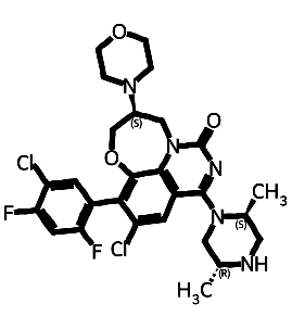 C[C@@H]1CN(c2nc(=O)n3c4c(c(-c5cc(Cl)c(F)cc5F)c(Cl)cc24)OC[C@@H](N2CCOCC2)C3)[C@@H](C)CN1